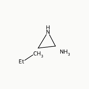 C1CN1.CCC.N